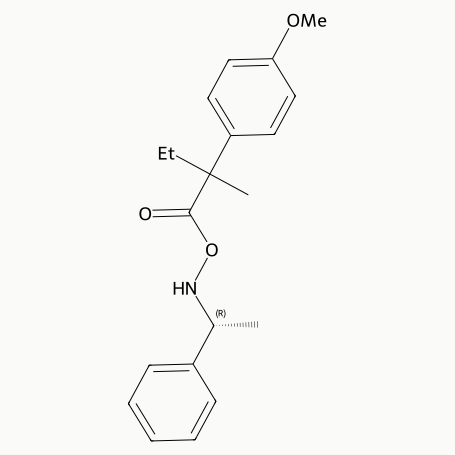 CCC(C)(C(=O)ON[C@H](C)c1ccccc1)c1ccc(OC)cc1